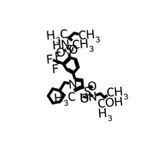 CCC(C)(C)NS(=O)(=O)c1ccc(-c2cc(S(=O)(=O)NCC(C)(C)O)c(C)n2CC2CCCCC2)cc1C(F)(F)F